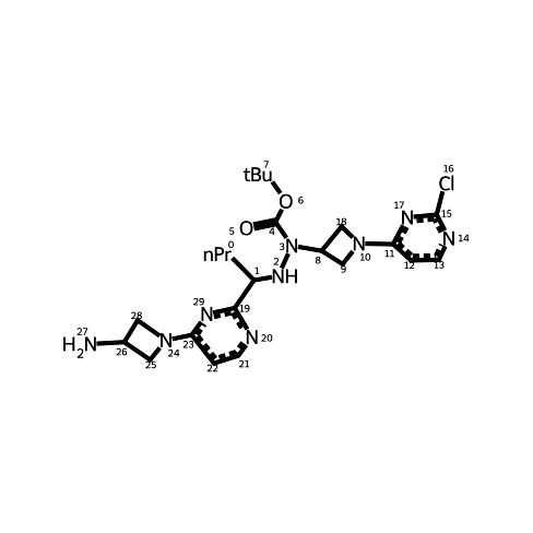 CCCC(NN(C(=O)OC(C)(C)C)C1CN(c2ccnc(Cl)n2)C1)c1nccc(N2CC(N)C2)n1